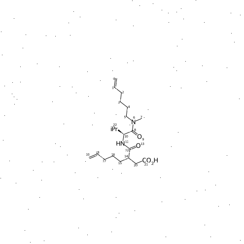 C=CCCCCN(C)C(=O)[C@@H](NC(=O)C(CCCC=C)CC(=O)O)C(C)C